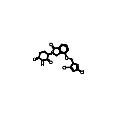 O=C1CCC(N2Cc3c(OCC4C=C(Cl)C=C4Cl)cccc3C2=O)C(=O)N1